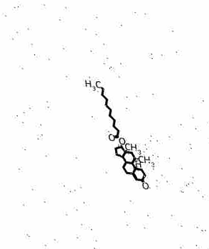 CCCCCCCCCCC(=O)O[C@H]1CCC2C3CCC4=CC(=O)CC[C@@H]4C3[C@@H](C)C[C@@]21C